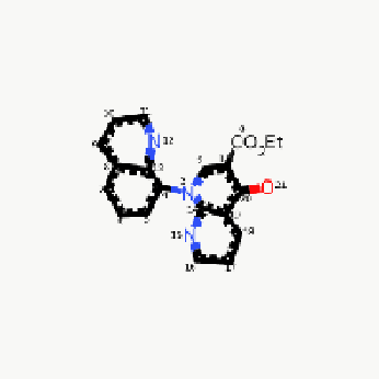 CCOC(=O)c1cn(-c2cccc3cccnc23)c2ncccc2c1=O